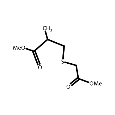 COC(=O)CSCC(C)C(=O)OC